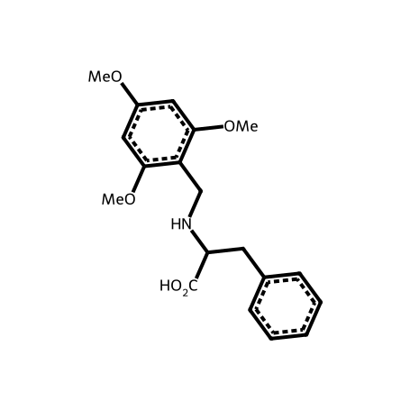 COc1cc(OC)c(CNC(Cc2ccccc2)C(=O)O)c(OC)c1